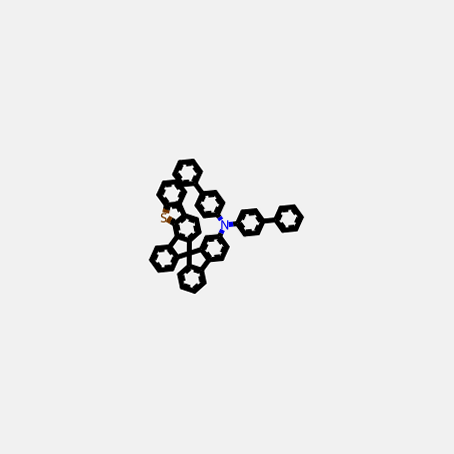 c1ccc(-c2ccc(N(c3ccc(-c4ccccc4)cc3)c3ccc4c(c3)C3(c5ccccc5-4)c4ccccc4-c4c3ccc3c4sc4ccccc43)cc2)cc1